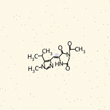 CC(=O)N1CC(=O)N/C(=C\c2ncn(C)c2C(C)C)C1=O